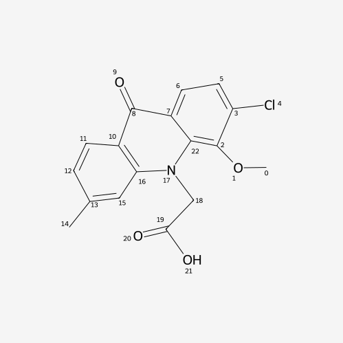 COc1c(Cl)ccc2c(=O)c3ccc(C)cc3n(CC(=O)O)c12